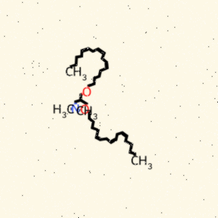 CCCCC/C=C\C/C=C\C/C=C\CCCCCOCC(COCCCCC/C=C\C/C=C\C/C=C\CCCCC)CN(C)C